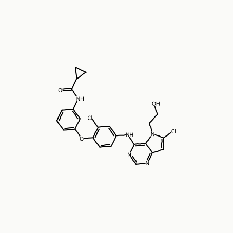 O=C(Nc1cccc(Oc2ccc(Nc3ncnc4cc(Cl)n(CCO)c34)cc2Cl)c1)C1CC1